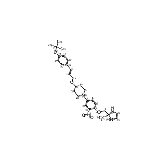 CC1(COc2ccc(N3CCC(OCC=Cc4ccc(OC(F)(F)F)cc4)CC3)cc2[N+](=O)[O-])NC=CN1